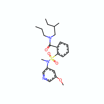 CCCN(CC(C)CC)C(=O)c1ccccc1S(=O)(=O)N(C)c1cncc(OC)c1